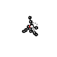 C=C1/C=C(c2ccccc2)\N=C(\c2c(C3c4ccccc4-c4cc5ccccc5cc43)ccc3c2oc2cc4ccccc4cc23)CC=C=C1c1ccc(-c2ccccc2)cc1